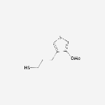 COc1cscc1CCCS